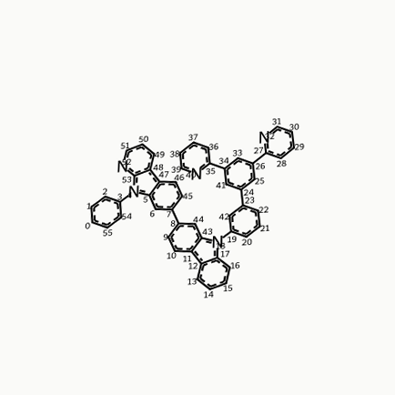 c1ccc(-n2c3cc(-c4ccc5c6ccccc6n(-c6cccc(-c7cc(-c8ccccn8)cc(-c8ccccn8)c7)c6)c5c4)ccc3c3cccnc32)cc1